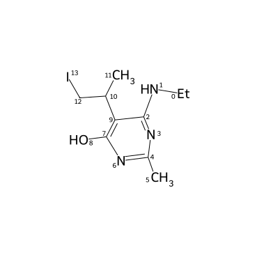 CCNc1nc(C)nc(O)c1C(C)CI